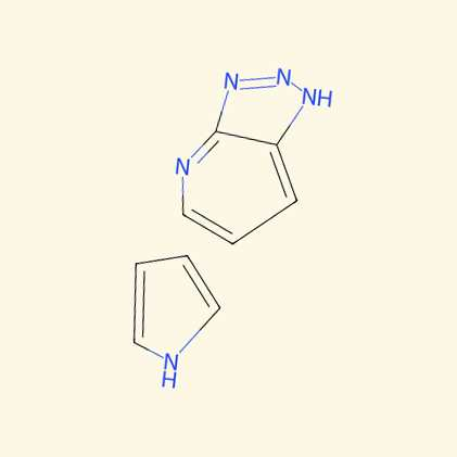 c1cc[nH]c1.c1cnc2nn[nH]c2c1